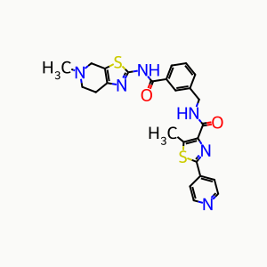 Cc1sc(-c2ccncc2)nc1C(=O)NCc1cccc(C(=O)Nc2nc3c(s2)CN(C)CC3)c1